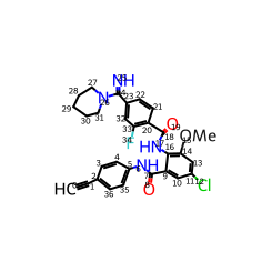 C#Cc1ccc(NC(=O)c2cc(Cl)cc(OC)c2NC(=O)c2ccc(C(=N)N3CCCCC3)cc2F)cc1